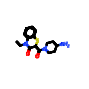 CCN1C(=O)C(C(=O)N2CCC(N)CC2)Sc2ccccc21